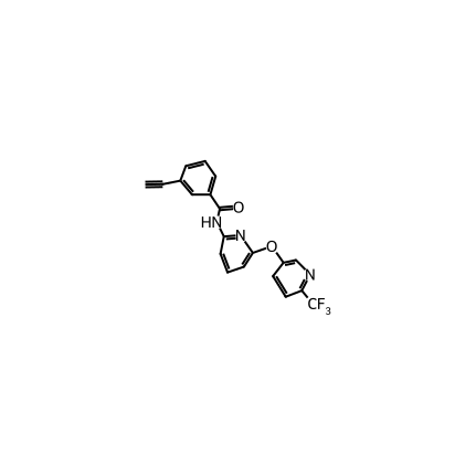 C#Cc1cccc(C(=O)Nc2cccc(Oc3ccc(C(F)(F)F)nc3)n2)c1